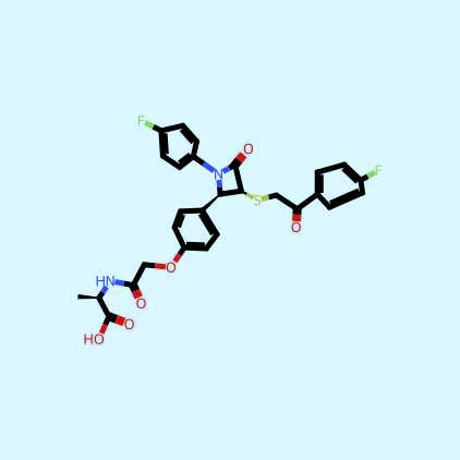 C[C@@H](NC(=O)COc1ccc([C@@H]2[C@H](SCC(=O)c3ccc(F)cc3)C(=O)N2c2ccc(F)cc2)cc1)C(=O)O